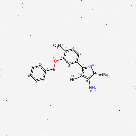 CC(C)(C)n1nc(-c2ccc([N+](=O)[O-])c(OCc3ccccc3)c2)c(C#N)c1N